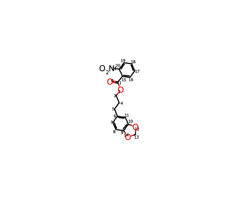 O=C(OCCCc1ccc2c(c1)OCO2)c1ccccc1[N+](=O)[O-]